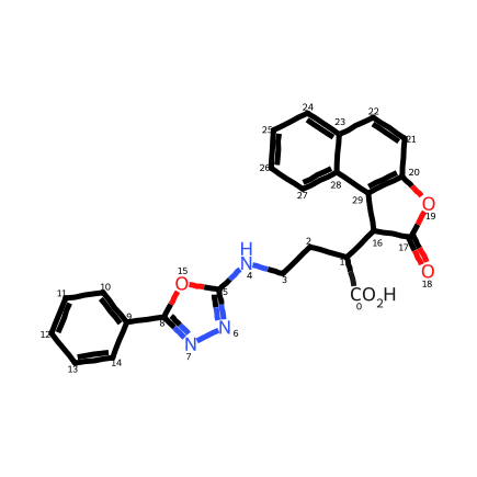 O=C(O)C(CCNc1nnc(-c2ccccc2)o1)C1C(=O)Oc2ccc3ccccc3c21